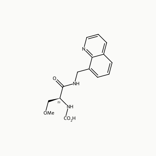 COC[C@H](NC(=O)O)C(=O)NCc1cccc2cccnc12